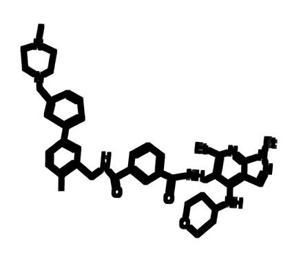 CCc1nc2c(cnn2CC)c(NC2CCOCC2)c1CNC(=O)c1cccc(C(=O)NCc2cc(-c3cccc(CN4CCN(C)CC4)c3)ccc2C)c1